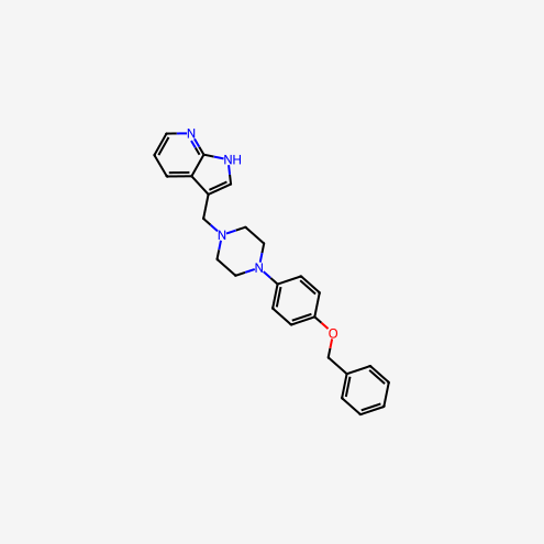 c1ccc(COc2ccc(N3CCN(Cc4c[nH]c5ncccc45)CC3)cc2)cc1